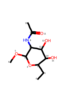 CCC1OC(OC)C(NC(C)=O)C(O)C1O